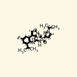 CC(C)c1cc(F)cc(-c2cnoc2)c1NC(=O)NS(=O)(=O)c1ccn(C(C)C)n1